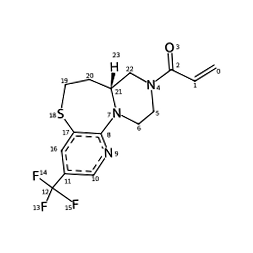 C=CC(=O)N1CCN2c3ncc(C(F)(F)F)cc3SCC[C@@H]2C1